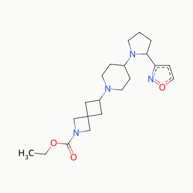 CCOC(=O)N1CC2(CC(N3CCC(N4CCCC4c4ccon4)CC3)C2)C1